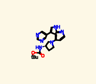 CC(C)(C)OC(=O)N[C@H]1CCN(c2ccnc3[nH]cc(-c4cncnc4)c23)C1